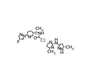 Cc1cc([C@H]2C[C@H](C(=O)N[C@@H](C)c3ccc(-n4cc(F)cn4)nc3)C2)nc(Nc2cc(C)[nH]n2)n1